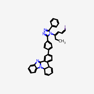 CC/C(=C\C=C/I)n1c(-c2ccccc2)nnc1-c1ccc(-c2ccc3c(c2)-c2nc4ccccc4n2C2C=CC=CC32)cc1